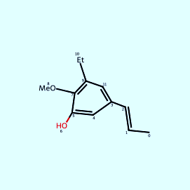 CC=Cc1cc(O)c(OC)c(CC)c1